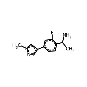 CC(N)c1ccc(-c2cnn(C)c2)cc1F